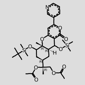 CC(=O)OC[C@](C)(OC(C)=O)[C@H]1CC(O[Si](C)(C)C(C)(C)C)[C@]2(C)Oc3cc(-c4cccnc4)oc(=O)c3C(O[Si](C)(C)C)[C@H]2C1